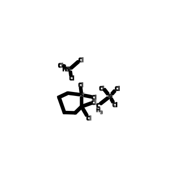 C[Si](Cl)(Cl)Cl.ClC1(Cl)CCCC[Si]1(Cl)Cl.Cl[SiH](Cl)Cl